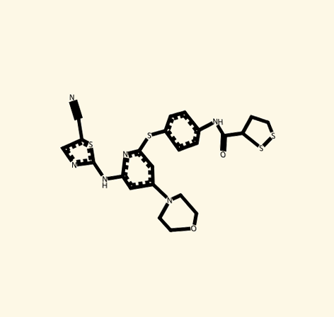 N#Cc1cnc(Nc2cc(N3CCOCC3)cc(Sc3ccc(NC(=O)C4CCSS4)cc3)n2)s1